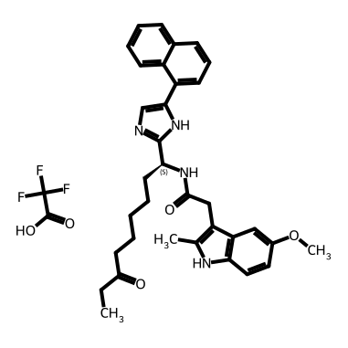 CCC(=O)CCCCC[C@H](NC(=O)Cc1c(C)[nH]c2ccc(OC)cc12)c1ncc(-c2cccc3ccccc23)[nH]1.O=C(O)C(F)(F)F